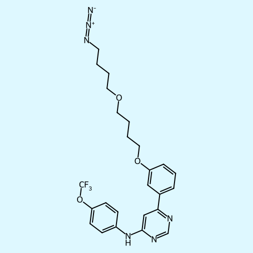 [N-]=[N+]=NCCCCOCCCCOc1cccc(-c2cc(Nc3ccc(OC(F)(F)F)cc3)ncn2)c1